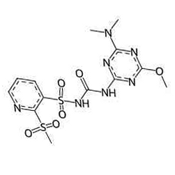 COc1nc(NC(=O)NS(=O)(=O)c2cccnc2S(C)(=O)=O)nc(N(C)C)n1